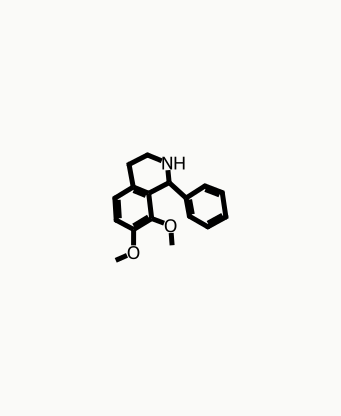 COc1ccc2c(c1OC)C(c1ccccc1)NCC2